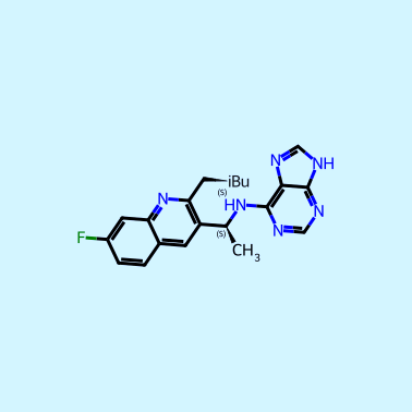 CC[C@H](C)Cc1nc2cc(F)ccc2cc1[C@H](C)Nc1ncnc2[nH]cnc12